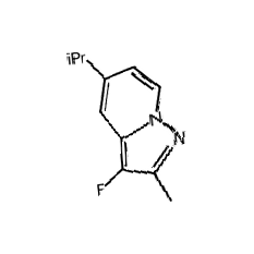 Cc1nn2ccc(C(C)C)cc2c1F